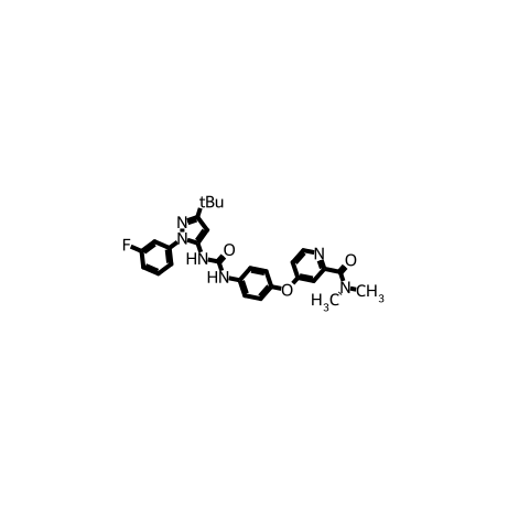 CN(C)C(=O)c1cc(Oc2ccc(NC(=O)Nc3cc(C(C)(C)C)nn3-c3cccc(F)c3)cc2)ccn1